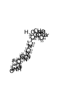 CC1(C)c2ccc(C3CCN(C4CCN(c5ncnc6c5CCN6c5cc(F)c(C6CCC(=O)NC6=O)c(F)c5)CC4)CC3)cc2-n2c1nc(=O)c1c(Br)cccc12